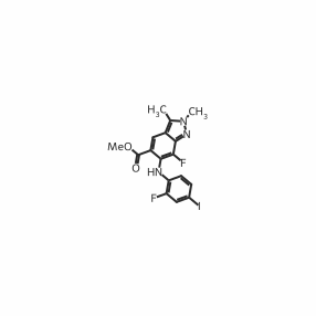 COC(=O)c1cc2c(C)n(C)nc2c(F)c1Nc1ccc(I)cc1F